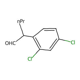 CCCC(C=O)c1ccc(Cl)cc1Cl